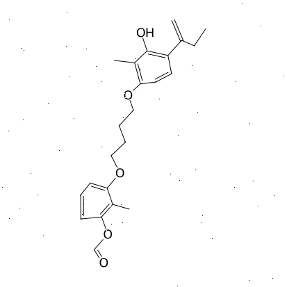 C=C(CC)c1ccc(OCCCCOc2cccc(OC=O)c2C)c(C)c1O